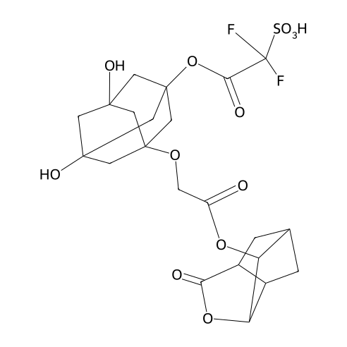 O=C(COC12CC3(O)CC(O)(C1)CC(OC(=O)C(F)(F)S(=O)(=O)O)(C3)C2)OC1C2CC3C(=O)OC1C3C2